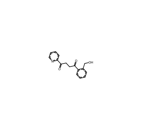 O=C(CCC(=O)c1ccccc1CO)c1ccccn1